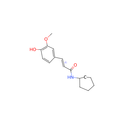 COc1cc(/C=C/C(=O)NC2CCCCC2)ccc1O